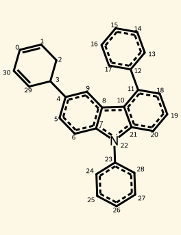 C1=CCC(c2ccc3c(c2)c2c(-c4ccccc4)cccc2n3-c2ccccc2)C=C1